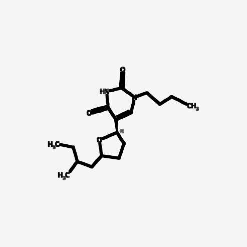 CCCCn1cc([C@H]2CCC(CC(C)CC)O2)c(=O)[nH]c1=O